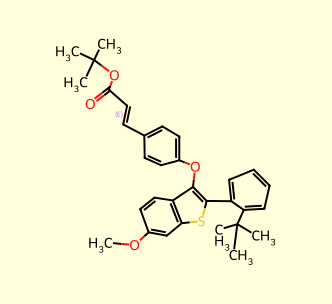 COc1ccc2c(Oc3ccc(/C=C/C(=O)OC(C)(C)C)cc3)c(-c3ccccc3C(C)(C)C)sc2c1